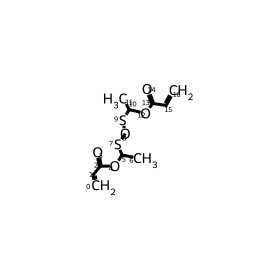 C=CC(=O)OC(C)SOSC(C)OC(=O)C=C